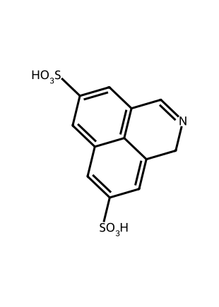 O=S(=O)(O)c1cc2c3c(cc(S(=O)(=O)O)cc3c1)CN=C2